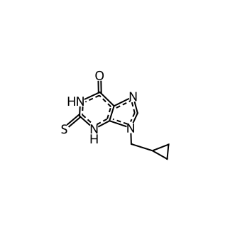 O=c1[nH]c(=S)[nH]c2c1ncn2CC1CC1